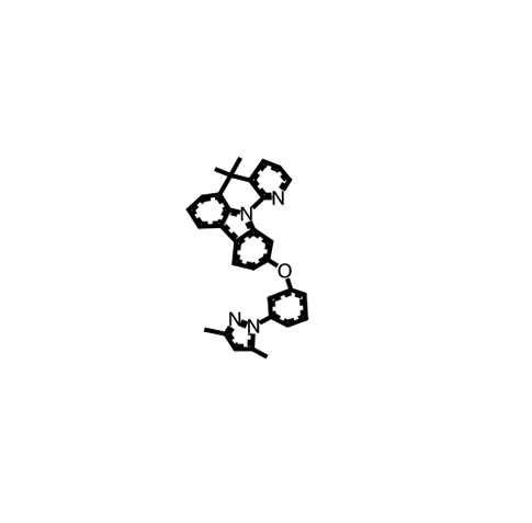 Cc1cc(C)n(-c2cccc(Oc3ccc4c5cccc6c5n(c4c3)-c3ncccc3C6(C)C)c2)n1